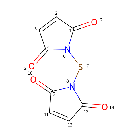 O=C1C=CC(=O)N1SN1C(=O)C=CC1=O